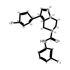 O=C(Nc1cccc(F)c1)N1CCn2ncc(-c3ccc(F)cc3)c2C1